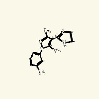 Cc1cccc(-n2nc(C)c(C3=NCCN3)c2C)c1